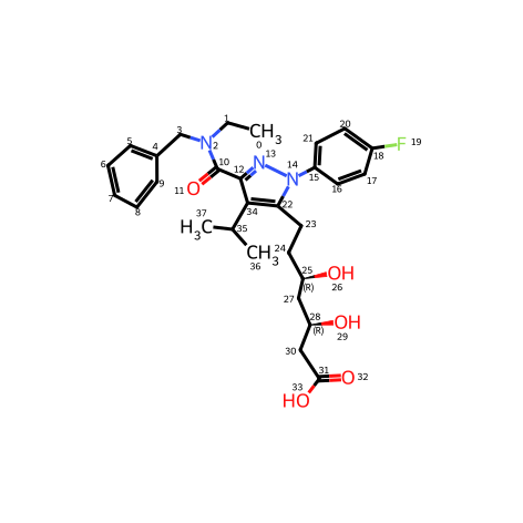 CCN(Cc1ccccc1)C(=O)c1nn(-c2ccc(F)cc2)c(CC[C@@H](O)C[C@@H](O)CC(=O)O)c1C(C)C